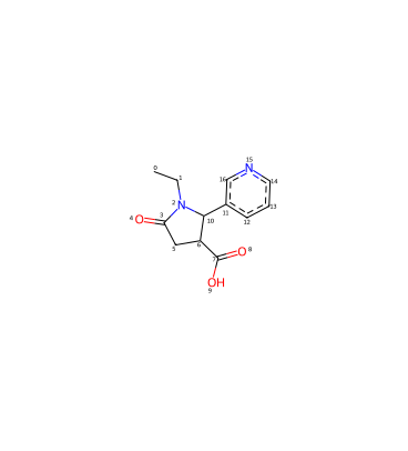 CCN1C(=O)CC(C(=O)O)C1c1cccnc1